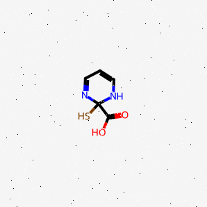 O=C(O)C1(S)N=CC=CN1